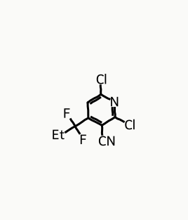 CCC(F)(F)c1cc(Cl)nc(Cl)c1C#N